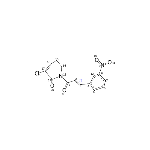 O=C(/C=C/c1cccc([N+](=O)[O-])c1)N1CCC=C(Cl)C1=O